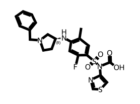 Cc1cc(S(=O)(=O)N(C(=O)O)c2cscn2)c(F)cc1N[C@@H]1CCN(Cc2ccccc2)C1